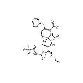 C=CCON=C(C(=O)NC1C(=O)N2C(C(=O)[O-])=C(C[n+]3ccccc3)CS[C@@H]12)c1csc(NC(=O)C(F)(F)F)n1